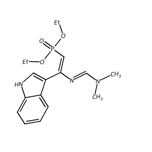 CCOP(=O)(/C=C(/N=C/N(C)C)c1c[nH]c2ccccc12)OCC